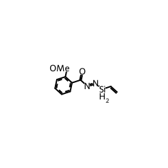 C=C[SiH2]N=NC(=O)c1ccccc1OC